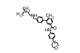 Cc1ccc(C(=O)Nc2ccc(N3CCOCC3)cc2)cc1-c1ccc(CNCCN(C)C)cc1